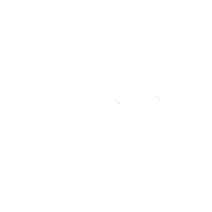 C=CC12CCC(CNc3cccc(C#N)c3)(CC1)C2